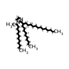 CCCCCCCCCCCCCC(CCCCCCCCCC)c1nccn1C(C)CCCCCCCCCCC